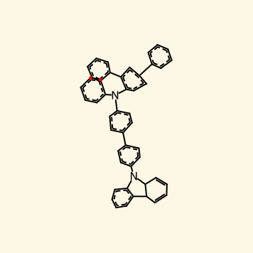 C1=CC2c3ccccc3N(c3ccc(-c4ccc(N(c5ccccc5)c5ccc(-c6ccccc6)cc5-c5ccccc5)cc4)cc3)C2C=C1